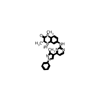 Cc1nn(-c2ccccc2)cc1-c1ccnc(Nc2ccc3c(c2)N(C(C)C)[C@H](C)C(=O)N3C)n1